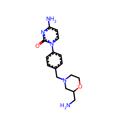 NCC1CN(Cc2ccc(-n3ccc(N)nc3=O)cc2)CCO1